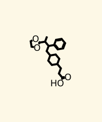 CC(C1OCCO1)C(CC1CCC(CCC(=O)O)CC1)c1ccccc1